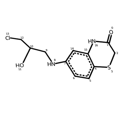 O=C1CSc2ccc(NCC(O)CCl)cc2N1